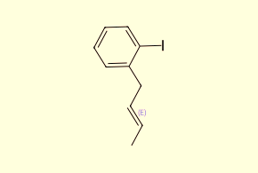 C/C=C/Cc1ccccc1I